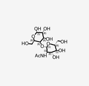 CC(=O)N[C@@H]1[C@H](O[C@@H]2[C@H](O)[C@@H](O)[C@@H](O)O[C@@H]2CO)O[C@H](CO)[C@@H](O)[C@@H]1O